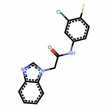 O=C(Cn1cnc2ccccc21)Nc1ccc(F)c(Cl)c1